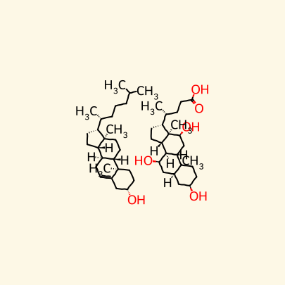 CC(C)CCC[C@@H](C)[C@H]1CC[C@H]2[C@@H]3CC=C4C[C@@H](O)CC[C@]4(C)[C@H]3CC[C@]12C.C[C@H](CCC(=O)O)[C@H]1CC[C@H]2[C@@H]3[C@H](O)C[C@@H]4C[C@H](O)CC[C@]4(C)[C@H]3C[C@H](O)[C@]12C